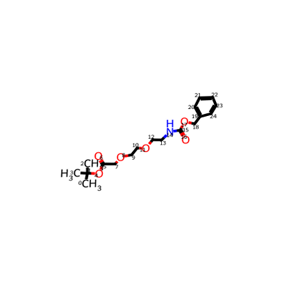 CC(C)(C)OC(=O)COCCOCCNC(=O)OCc1ccccc1